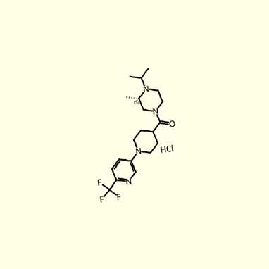 CC(C)N1CCN(C(=O)C2CCN(c3ccc(C(F)(F)F)nc3)CC2)C[C@@H]1C.Cl